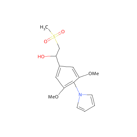 COc1cc(C(O)CS(C)(=O)=O)cc(OC)c1-n1cccc1